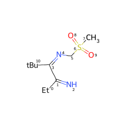 CCC(=N)/C(=N\CS(C)(=O)=O)C(C)(C)C